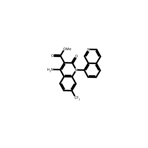 COC(=O)c1c(N)c2ccc(C(F)(F)F)cc2n(-c2cccc3ccncc23)c1=O